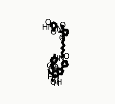 Cc1ccc(S(=O)(=O)N2CC[C@@H]3[C@H](CO)Nc4ccc(-c5cccc(NC(=O)CCCCCCOc6cccc7c6CN(C6CCC(=O)NC6=O)C7=O)c5)cc4[C@@H]32)cc1